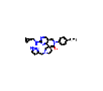 COc1ccc(N2Cc3cnc(NCC4CC4)nc3C3(CCN(Cc4cc[nH]n4)C3)C2=O)cc1